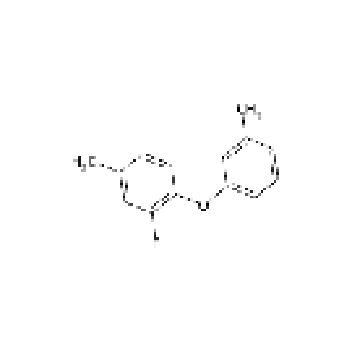 Cc1cccc(Oc2ccc(C)cc2F)c1